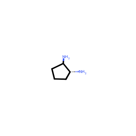 NC1CCC[C@H]1N